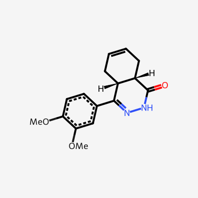 COc1ccc(C2=NNC(=O)[C@H]3CC=CC[C@@H]23)cc1OC